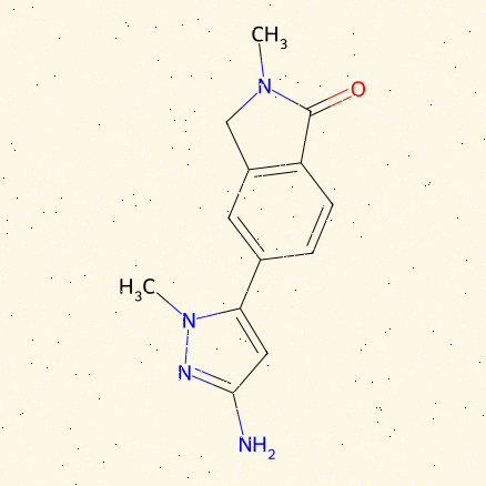 CN1Cc2cc(-c3cc(N)nn3C)ccc2C1=O